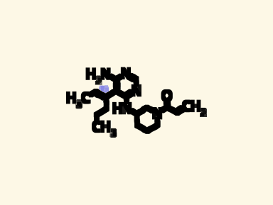 C=CC(=O)N1CCCC(Nc2ncnc(N)c2/C(=C/C)CCC)C1